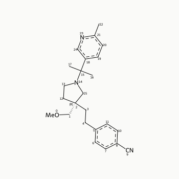 COC[C@]1(CCc2ccc(C#N)cc2)CCN(C(C)(C)c2ccc(C)nc2)C1